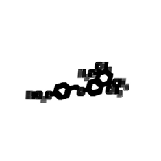 CCOC(=O)c1ccc(COc2ccc3c(c2)C(C)(C)CCC3(C)C)cc1